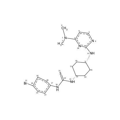 CN(C)c1ccnc(N[C@H]2CC[C@@H](NC(=S)Nc3ccc(Br)cc3)CC2)n1